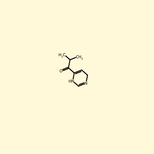 CC(C)C(=O)C1=CCN=CN1